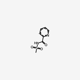 CS(=O)(=O)NC(=O)c1[c]cccn1